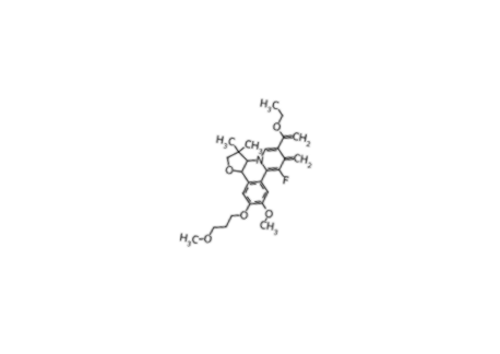 C=C(OCC)C1=CN2C(=C(F)C1=C)c1cc(OC)c(OCCCOC)cc1C1OCC(C)(C)C12